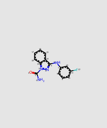 NC(=O)n1nc(Nc2cccc(F)c2)c2c[c]ccc21